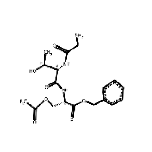 C[C@H](O)[C@H](NC(=O)CN)C(=O)N[C@@H](COC(=O)C(F)(F)F)C(=O)OCc1ccccc1